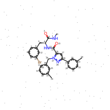 CNC(=O)[C@H](Cc1cccc(Br)c1)NC(=O)c1cc(-c2cccc(C)c2)nn1Cc1cccc(C)c1